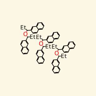 CCC(OC(CC)c1ccc2ccccc2c1)c1ccc2ccccc2c1.CCC(OC(CC)c1ccc2ccccc2c1)c1ccc2ccccc2c1.CCC(OC(CC)c1ccc2ccccc2c1)c1ccc2ccccc2c1